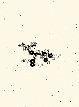 Cc1c(C#N)c(Nc2ccc(Cl)c(S(=O)(=O)O)c2)nc(Nc2ccc(Cl)cc2)c1N=Nc1sc(/N=N/c2cc(S(=O)(=O)O)c3cccc(S(=O)(=O)O)c3c2)c(-c2ccc(Nc3nc(NCC(C)O)nc(NCC(C)O)n3)cc2)c1C#N